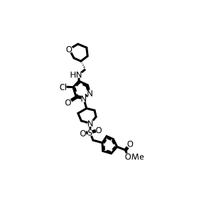 COC(=O)c1ccc(CS(=O)(=O)N2CCC(n3ncc(NC[C@H]4CCCOC4)c(Cl)c3=O)CC2)cc1